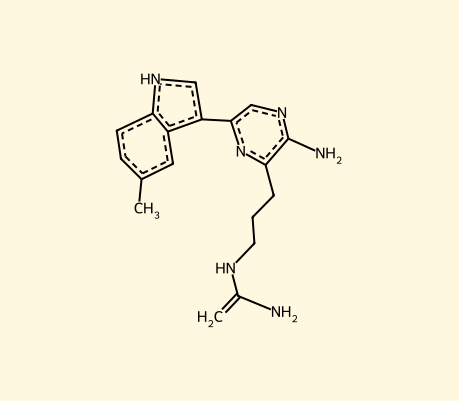 C=C(N)NCCCc1nc(-c2c[nH]c3ccc(C)cc23)cnc1N